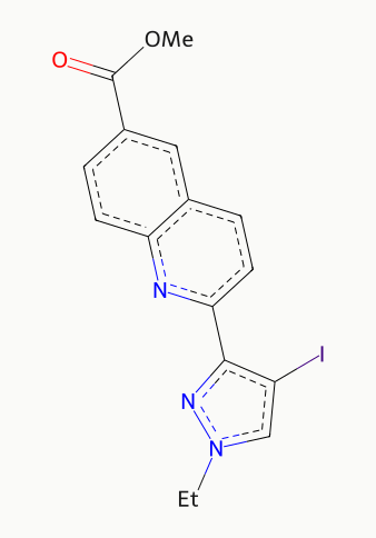 CCn1cc(I)c(-c2ccc3cc(C(=O)OC)ccc3n2)n1